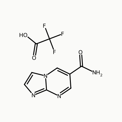 NC(=O)c1cnc2nccn2c1.O=C(O)C(F)(F)F